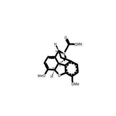 COC(=O)N1CC[C@@]23C4=CC=C(OC)[C@@H]2Oc2c(OC)ccc(c23)C[C@H]41